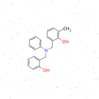 Cc1cccc(CN(Cc2ccccc2O)c2ccccc2)c1O